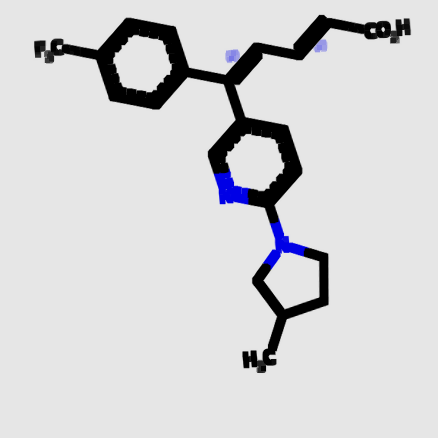 CC1CCN(c2ccc(/C(=C\C=C\C(=O)O)c3ccc(C(F)(F)F)cc3)cn2)C1